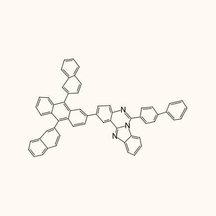 c1ccc(-c2ccc(-c3nc4ccc(-c5ccc6c(-c7ccc8ccccc8c7)c7ccccc7c(-c7ccc8ccccc8c7)c6c5)cc4c4nc5ccccc5n34)cc2)cc1